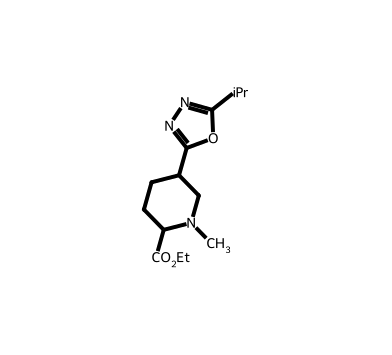 CCOC(=O)C1CCC(c2nnc(C(C)C)o2)CN1C